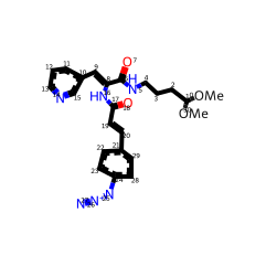 COC(CCCNC(=O)C(=Cc1cccnc1)NC(=O)C=Cc1ccc(N=[N+]=[N-])cc1)OC